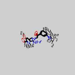 CCOc1cc2c(nc1C(=O)NC)C(=N)N(CC(=O)c1cc(N(C)C)c(OC)c(C(C)(C)C)c1)C2